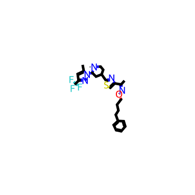 CC(=NOCCCCc1ccccc1)c1csc(C2CC[N]C(n3nc(C(F)(F)F)cc3C)C2)n1